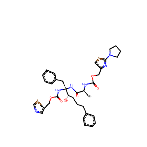 CC(C)[C@H](NC(=O)OCc1csc(N2CCCC2)n1)C(=O)N[C@@](Cc1ccccc1)(NC(=O)OCc1cncs1)[C@@H](O)CCCc1ccccc1